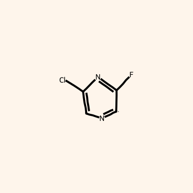 Fc1[c]ncc(Cl)n1